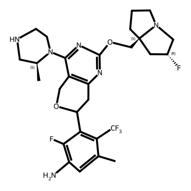 Cc1cc(N)c(F)c(C2Cc3nc(OC[C@@]45CCCN4C[C@H](F)C5)nc(N4CCNC[C@@H]4C)c3CO2)c1C(F)(F)F